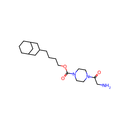 NCC(=O)N1CCN(C(=O)OCCCCC2CC3CCCC(C2)C3)CC1